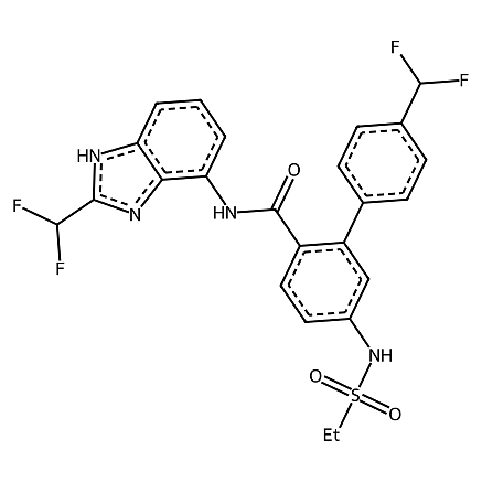 CCS(=O)(=O)Nc1ccc(C(=O)Nc2cccc3[nH]c(C(F)F)nc23)c(-c2ccc(C(F)F)cc2)c1